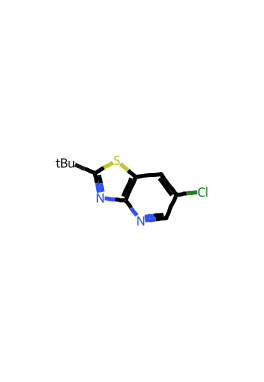 CC(C)(C)c1nc2ncc(Cl)cc2s1